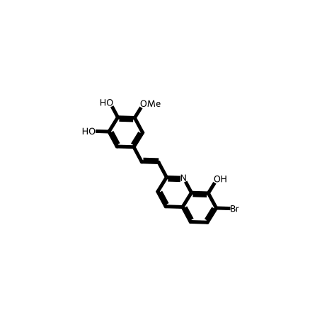 COc1cc(/C=C/c2ccc3ccc(Br)c(O)c3n2)cc(O)c1O